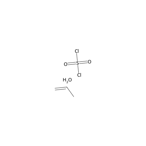 C=CC.O.O=S(=O)(Cl)Cl